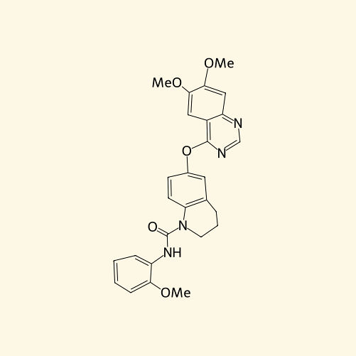 COc1ccccc1NC(=O)N1CCCc2cc(Oc3ncnc4cc(OC)c(OC)cc34)ccc21